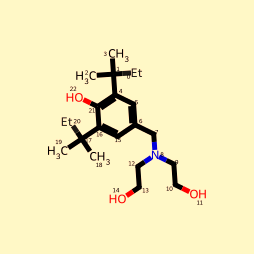 CCC(C)(C)c1cc(CN(CCO)CCO)cc(C(C)(C)CC)c1O